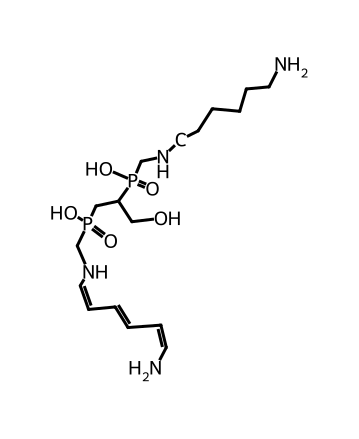 N\C=C/C=C/C=C\NCP(=O)(O)CC(CO)P(=O)(O)CNCCCCCCN